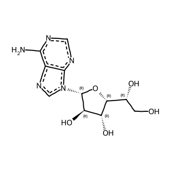 Nc1ncnc2c1ncn2[C@@H]1O[C@H]([C@H](O)CO)[C@H](O)[C@H]1O